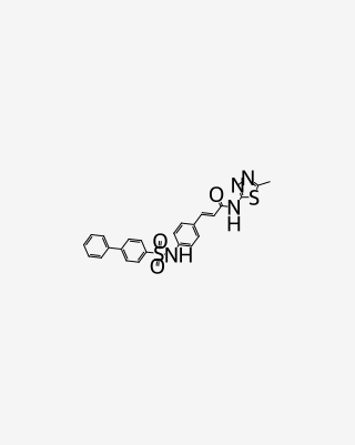 Cc1nnc(NC(=O)/C=C/c2ccc(NS(=O)(=O)c3ccc(-c4ccccc4)cc3)cc2)s1